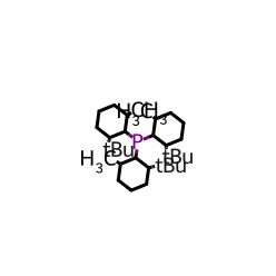 CC1CCCC(C(C)(C)C)C1P(C1C(C)CCCC1C(C)(C)C)C1C(C)CCCC1C(C)(C)C